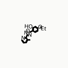 CCOc1ccc(-c2nc(-c3ncccc3C)no2)c(O)c1